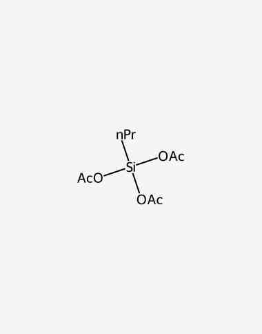 C[CH]C[Si](OC(C)=O)(OC(C)=O)OC(C)=O